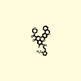 CN1CCCC1CCNc1c(F)cc2c(=O)c(C(=O)N3CCOCC3)cn3c2c1Oc1cc2c(cc1-3)C1=C(C=CCC1)CO2